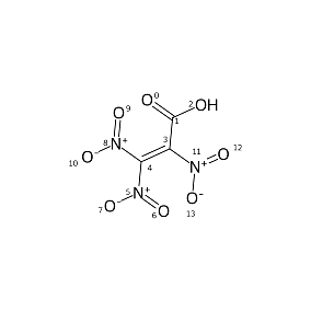 O=C(O)C(=C([N+](=O)[O-])[N+](=O)[O-])[N+](=O)[O-]